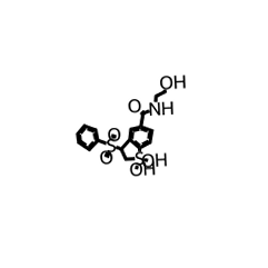 O=C(NCCO)c1ccc2c(c1)C(S(=O)(=O)c1ccccc1)CS2(O)O